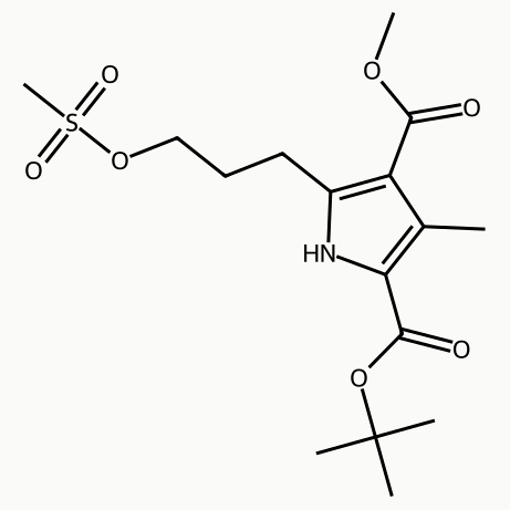 COC(=O)c1c(CCCOS(C)(=O)=O)[nH]c(C(=O)OC(C)(C)C)c1C